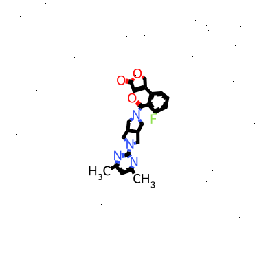 Cc1cc(C)nc(N2CC3CN(C(=O)c4c(F)cccc4C4=CC(=O)OC4)CC3C2)n1